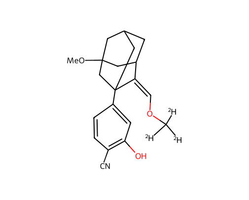 [2H]C([2H])([2H])OC=C1C2CC3CC(OC)(C2)CC1(c1ccc(C#N)c(O)c1)C3